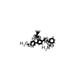 COc1ccc(-c2ccc(-c3csc(C4(OC(N)=O)CCCCC4)n3)cc2NS(=O)(=O)C2CC2)cn1